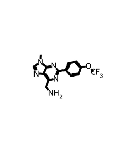 Cn1cnc2c(CN)nc(-c3ccc(OC(F)(F)F)cc3)nc21